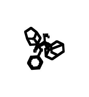 NC(=O)C12CC3CC(C1)C(NC(=O)N1C4CCC1CC(Oc1ccccc1)C4)C(C3)C2